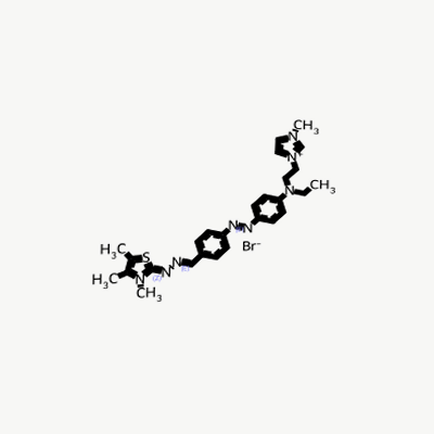 CCN(CC[n+]1ccn(C)c1)c1ccc(/N=N/c2ccc(/C=N/N=c3\sc(C)c(C)n3C)cc2)cc1.[Br-]